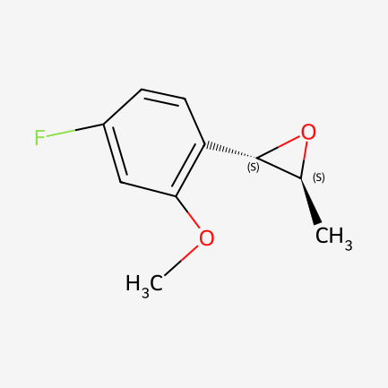 COc1cc(F)ccc1[C@@H]1O[C@H]1C